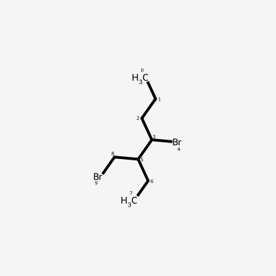 C[CH]CC(Br)C(CC)CBr